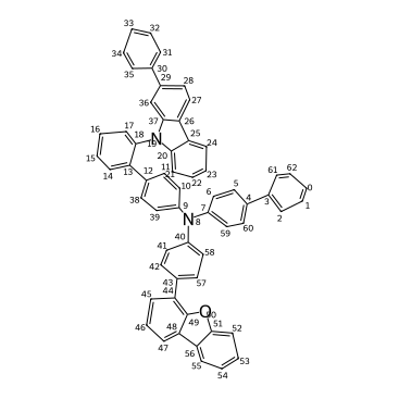 c1ccc(-c2ccc(N(c3ccc(-c4ccccc4-n4c5ccccc5c5ccc(-c6ccccc6)cc54)cc3)c3ccc(-c4cccc5c4oc4ccccc45)cc3)cc2)cc1